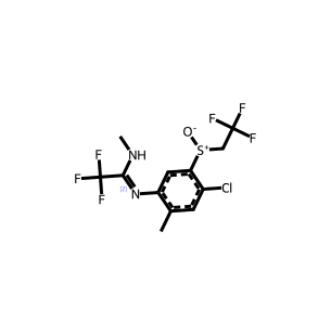 CN/C(=N\c1cc([S+]([O-])CC(F)(F)F)c(Cl)cc1C)C(F)(F)F